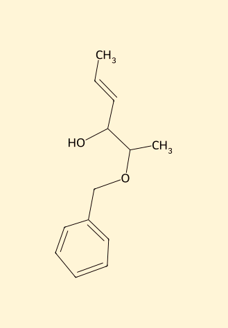 C/C=C/C(O)C(C)OCc1ccccc1